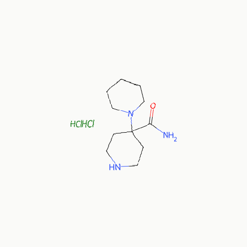 Cl.Cl.NC(=O)C1(N2CCCCC2)CCNCC1